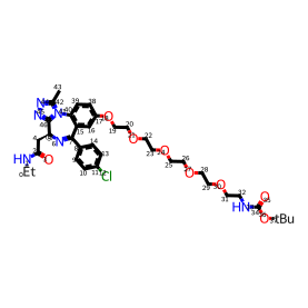 CCNC(=O)C[C@@H]1N=C(c2ccc(Cl)cc2)c2cc(OCCOCCOCCOCCOCCNC(=O)OC(C)(C)C)ccc2-n2c(C)nnc21